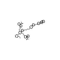 C=C(C)C(=O)OCCCc1cc(-c2ccccc2CC)cc(CCCOC(=O)C(=C)C)c1OCCCCCc1ccc(OCCCOCN2C=COC2)cc1